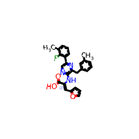 Cc1cccc(Cc2nc(-c3cccc(C)c3F)cnc2N/C(=C\c2ccco2)C(=O)O)c1